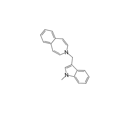 Cn1cc(CN2C=Cc3ccccc3C=C2)c2ccccc21